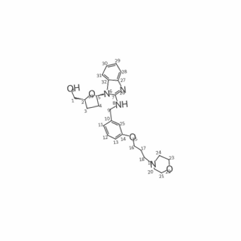 OC[C@@H]1CC[C@H](n2c(NCc3cccc(OCCCN4CCOCC4)c3)nc3ccccc32)O1